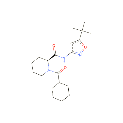 CC(C)(C)c1cc(NC(=O)[C@@H]2CCCCN2C(=O)C2CCCCC2)no1